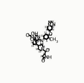 CC(=O)O.Cc1cc(Nc2ncnn3ccc(C4CCN(C(=O)C5CC(=O)N5)CC4)c23)ccc1Oc1ccn2ncnc2c1